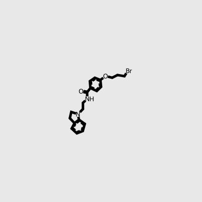 O=C(NCCN1CCc2ccccc21)c1ccc(OCCCBr)cc1